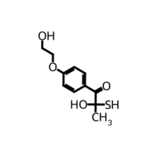 CC(O)(S)C(=O)c1ccc(OCCO)cc1